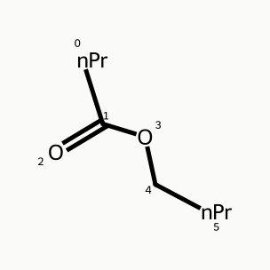 [CH2]CCC(=O)OCCCC